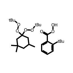 CC(C)(C)c1ccccc1C(=O)OO.CC1CC(C)(C)CC(OOC(C)(C)C)(OOC(C)(C)C)C1